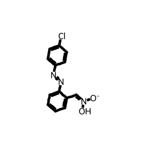 [O-][N+](O)=Cc1ccccc1N=Nc1ccc(Cl)cc1